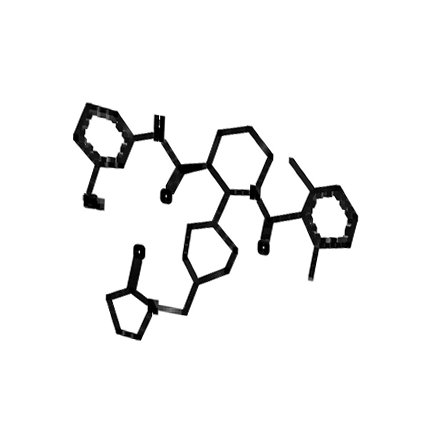 Cc1cccc(C)c1C(=O)N1CCC[C@H](C(=O)Nc2cccc(C(C)(C)C)c2)C1C1CCC(CN2CCCC2=O)CC1